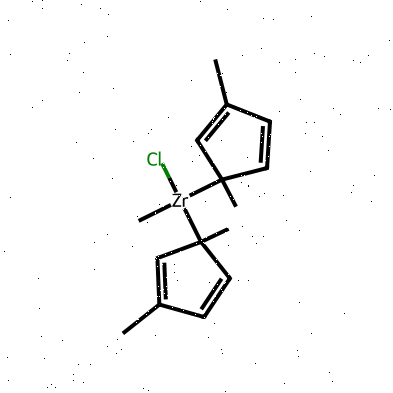 CC1=C[C](C)([Zr]([CH3])([Cl])[C]2(C)C=CC(C)=C2)C=C1